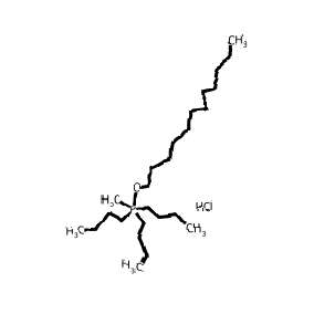 CCCCCCCCCCCCOP(C)(CCCC)(CCCC)CCCC.Cl